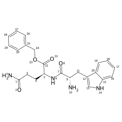 NC(=O)CC[C@H](NC(=O)[C@@H](N)Cc1c[nH]c2ccccc12)C(=O)OCc1ccccc1